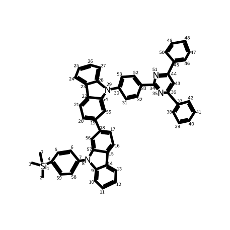 C[Si](C)(C)c1ccc(-n2c3ccccc3c3ccc(-c4ccc5c6ccccc6n(-c6ccc(-c7nc(-c8ccccc8)cc(-c8ccccc8)n7)cc6)c5c4)cc32)cc1